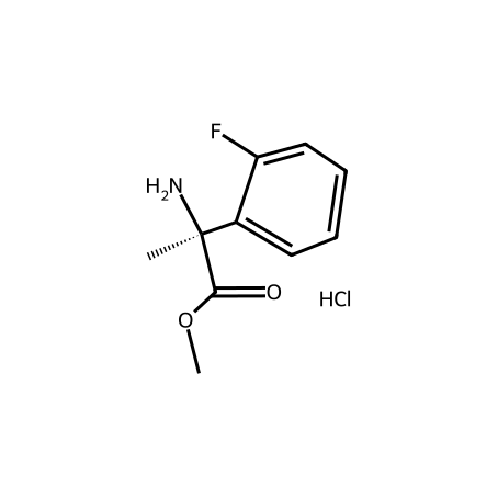 COC(=O)[C@@](C)(N)c1ccccc1F.Cl